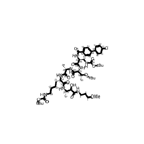 COCCCNC(=O)C(O)[C@H](C)NC(=O)[C@H](CCCCNC(=O)OC(C)(C)C)NC(=O)[C@H](C)NC(=O)[C@@H](NC(=O)[C@H](CNC(=O)OC(C)(C)C)NC(=O)c1ccc(-c2ccc(Cl)cc2)cc1)[C@@H](C)OC(C)(C)C